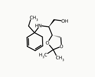 CCC1(N[C@@H](CO)[C@@H]2COC(C)(C)O2)C=CC=CC1